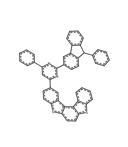 c1ccc(-c2cc(-c3ccc4oc5ccc6sc7ccccc7c6c5c4c3)nc(-c3ccc4c(c3)-c3ccccc3C4c3ccccc3)n2)cc1